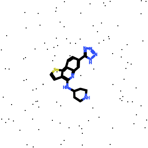 c1cc2c(NC3CCNCC3)nc3cc(-c4nnn[nH]4)ccc3c2s1